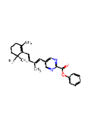 CC(C=CC1=C(C)CCCC1(C)C)=Cc1cnc(C(=O)Oc2ccccc2)nc1